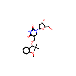 COc1ccccc1C(OCc1cn([C@H]2C[C@H](O)[C@@H](CO)O2)c(=O)[nH]c1=O)C(C)(C)C